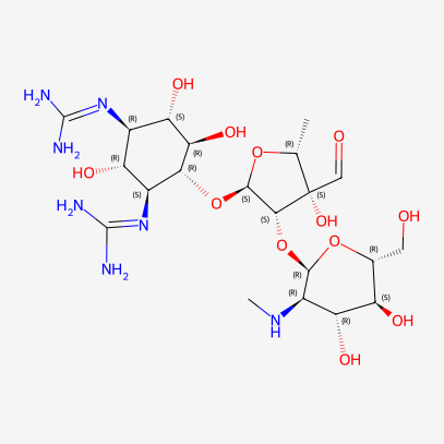 CN[C@H]1[C@@H](O[C@@H]2[C@@H](O[C@H]3[C@H](O)[C@@H](O)[C@H](N=C(N)N)[C@@H](O)[C@@H]3N=C(N)N)O[C@H](C)[C@@]2(O)C=O)O[C@H](CO)[C@@H](O)[C@@H]1O